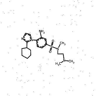 CN(C)CCN(C)S(=O)(=O)c1ccc(-n2ccnc2C2CCCCC2)c(N)c1